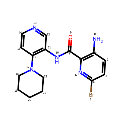 Nc1ccc(Br)nc1C(=O)Nc1cnccc1N1CCCCC1